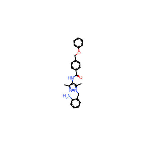 Cc1nn(Cc2ccccc2N)c(C)c1NC(=O)c1ccc(COc2ccccc2)cc1